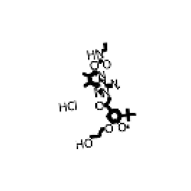 CCNC(=O)Oc1nn2/c(=N/C)n(CC(=O)c3cc(OCCCO)c(OC)c(C(C)(C)C)c3)nc2c(C)c1C.Cl